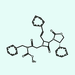 CC(C)(C)OC(=O)N(Cc1ccccc1)C(=O)CN1C(=O)C(N2C(=O)OC[C@@H]2c2ccccc2)C1C=Cc1ccccc1